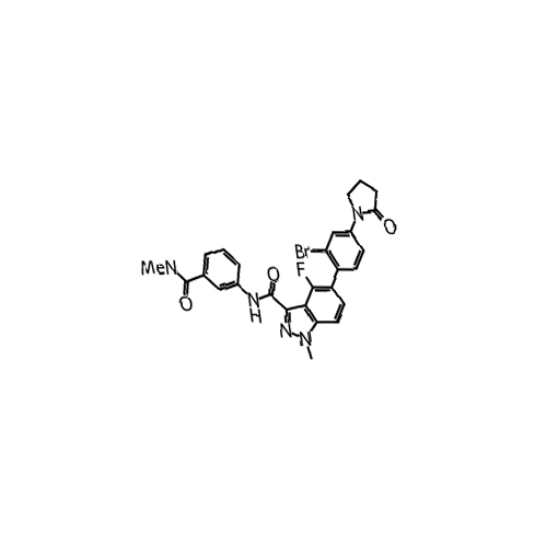 CNC(=O)c1cccc(NC(=O)c2nn(C)c3ccc(-c4ccc(N5CCCC5=O)cc4Br)c(F)c23)c1